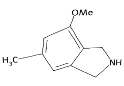 COc1cc(C)cc2c1CNC2